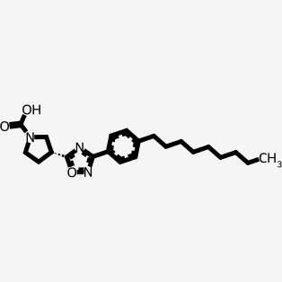 CCCCCCCCCc1ccc(-c2noc([C@@H]3CCN(C(=O)O)C3)n2)cc1